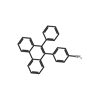 Nc1ccc(-c2c(-c3ccccc3)c3ccccc3c3ccccc23)cc1